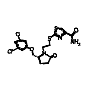 NC(=O)c1csc(SCCN2C(=O)CC[C@@H]2COc2cc(Cl)cc(Cl)c2)n1